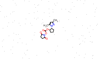 Cc1cc(C)n([C@@H]2CCC[C@H]2OC(=O)ON2C(=O)CCC2=O)n1